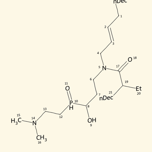 CCCCCCCCCCCC=CCN(CCC(O)[PH](=O)CCN(C)C)C(=O)C(CC)CCCCCCCCCC